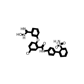 N=C(NO)c1cccc(Oc2ccc(Cl)cc2C(=O)Nc2ccc(-c3ccccc3S(N)(=O)=O)cc2)c1